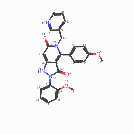 COc1ccc(-c2c3c(=O)n(-c4ccccc4OC)[nH]c3cc(=O)n2Cc2cccnc2)cc1